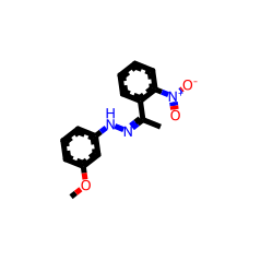 COc1cccc(NN=C(C)c2ccccc2[N+](=O)[O-])c1